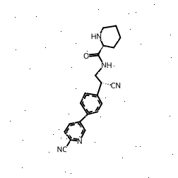 N#Cc1ccc(-c2ccc([C@@H](C#N)CNC(=O)[C@@H]3CCCCN3)cc2)cn1